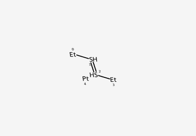 CC[SH]=[SH]CC.[Pt]